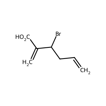 C=CCC(Br)C(=C)C(=O)O